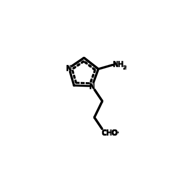 Nc1cncn1CC[C]=O